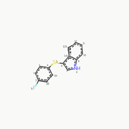 Fc1ccc(Sc2c[nH]c3ccccc23)cc1